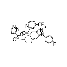 Cn1ccc(S(=O)(=O)CC2CCC3=Cc4c(cnn4-c4ccc(F)cc4)C[C@]3(C(=O)c3cc(C(F)(F)F)ccn3)C2)n1